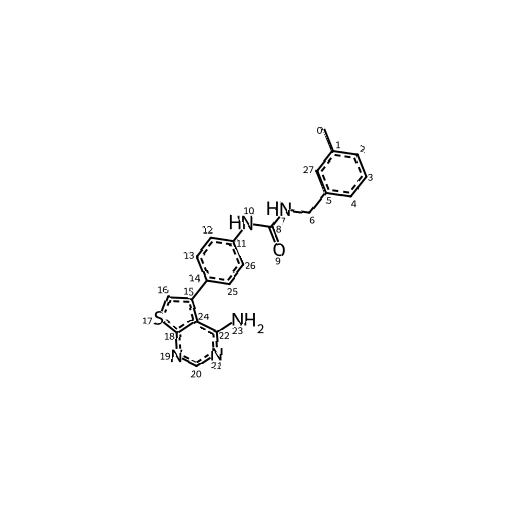 Cc1cccc(CNC(=O)Nc2ccc(-c3csc4ncnc(N)c34)cc2)c1